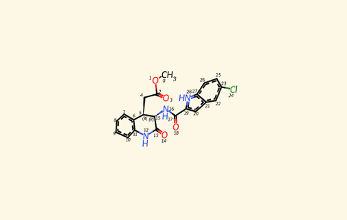 COC(=O)C[C@@H]1c2ccccc2NC(=O)[C@@H]1NC(=O)c1cc2cc(Cl)ccc2[nH]1